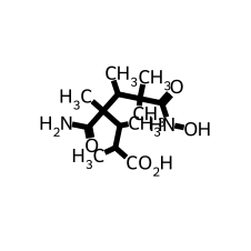 CC(C(=O)O)C(C)C(C)(C(N)=O)C(C)C(C)(C)C(=O)NO